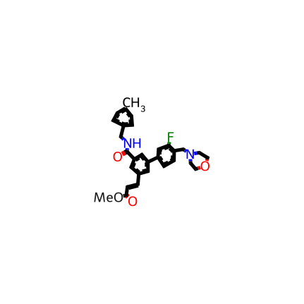 COC(=O)/C=C/c1cc(C(=O)NCc2ccc(C)cc2)cc(-c2ccc(CN3CCOCC3)c(F)c2)c1